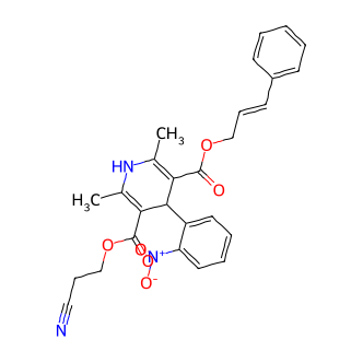 CC1=C(C(=O)OCC=Cc2ccccc2)C(c2ccccc2[N+](=O)[O-])C(C(=O)OCCC#N)=C(C)N1